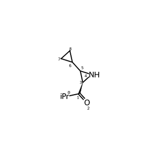 CC(C)C(=O)[C@@H]1NC1C1CC1